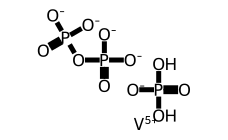 O=P([O-])(O)O.O=P([O-])([O-])OP(=O)([O-])[O-].[V+5]